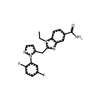 CCn1c(Cc2ccnn2-c2cc(F)ccc2F)nc2cc(C(N)=O)ccc21